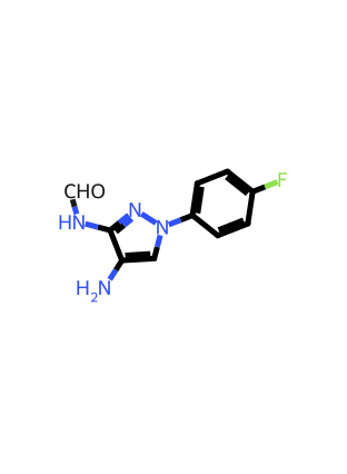 Nc1cn(-c2ccc(F)cc2)nc1NC=O